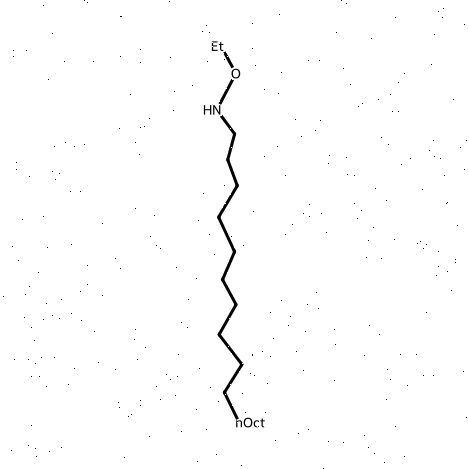 CCCCCCCCCCCCCCCCCCNOCC